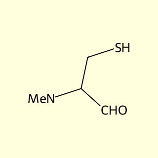 CNC(C=O)CS